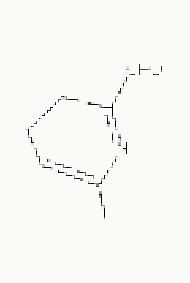 CC1=CCCC(C=O)=N1